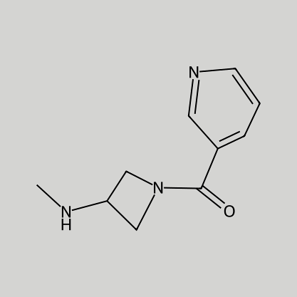 CNC1CN(C(=O)c2cccnc2)C1